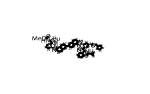 CC[C@H](C)[C@H](NC(=O)OC)C(=O)N1CCC[C@H]1c1nc2ccc3cc(-c4ccc5c(ccc6nc([C@@H]7C[C@H](COCC8CCCC8)CN7C(=O)[C@H](NC(=O)C7CC7)c7ccccc7)[nH]c65)c4)ccc3c2[nH]1